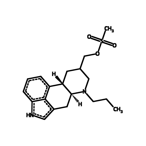 CCCN1CC(COS(C)(=O)=O)C[C@H]2c3cccc4[nH]cc(c34)C[C@@H]21